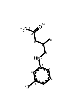 CC(CNc1cccc(Cl)c1)CC(N)=O